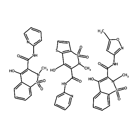 CN1C(C(=O)Nc2ccccn2)=C(O)c2ccccc2S1(=O)=O.CN1C(C(=O)Nc2ccccn2)=C(O)c2sccc2S1(=O)=O.Cc1cc(NC(=O)C2=C(O)c3ccccc3S(=O)(=O)N2C)no1